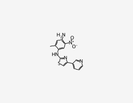 Cc1cc(N)c([N+](=O)[O-])cc1Nc1nc(-c2cccnc2)cs1